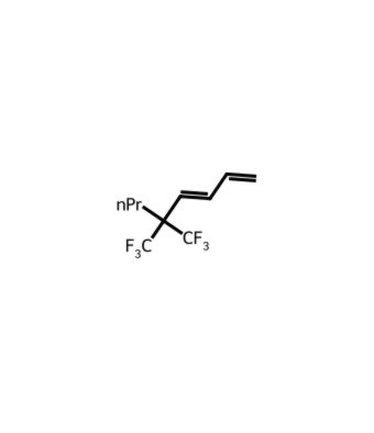 C=CC=CC(CCC)(C(F)(F)F)C(F)(F)F